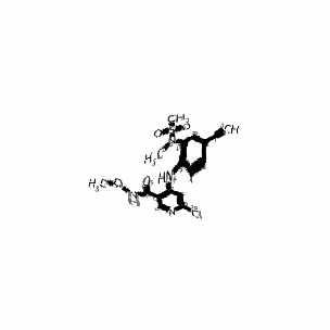 C#Cc1ccc(Nc2cc(Cl)ncc2C(=O)NOC)c(N(C)S(C)(=O)=O)c1